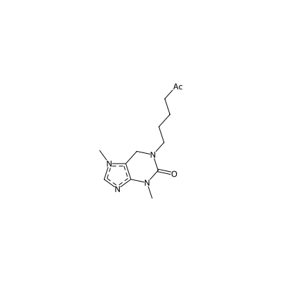 CC(=O)CCCCN1Cc2c(ncn2C)N(C)C1=O